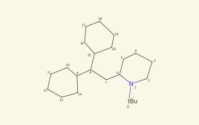 CC(C)(C)N1CCCCC1CC(C1CCCCC1)C1CCCCC1